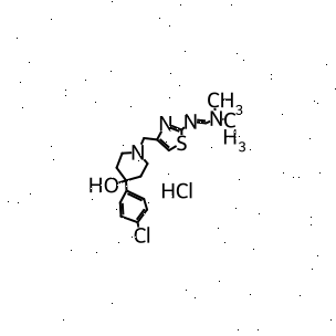 CN(C)C=Nc1nc(CN2CCC(O)(c3ccc(Cl)cc3)CC2)cs1.Cl